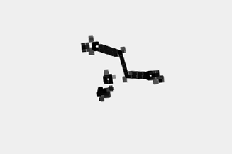 C=CC=C.[Ag+].[Cl-]